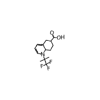 CC(C)(N1C=CC=C2CC(C(=O)O)CCC21)C(F)(F)F